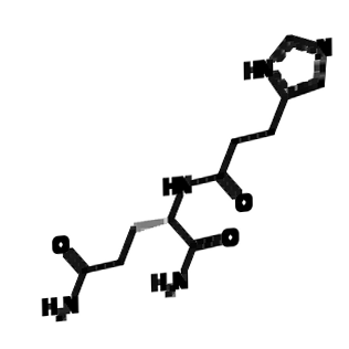 NC(=O)CC[C@H](NC(=O)CCc1cnc[nH]1)C(N)=O